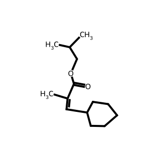 CC(=CC1CCCCC1)C(=O)OCC(C)C